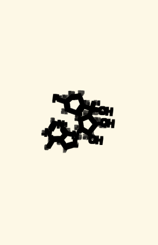 Cc1ncnc2c1ccn2C1CC(C(C)(O)c2ccc(F)cc2)[C@@H](O)[C@H]1O